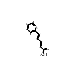 O=C(O)/C=C/C=C/c1ccccn1